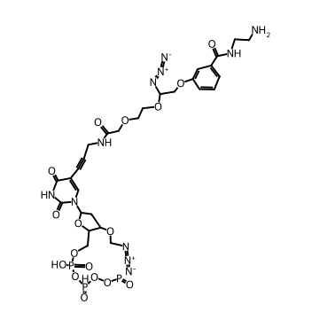 [N-]=[N+]=NCOC1CC(n2cc(C#CCNC(=O)COCCOC(COc3cccc(C(=O)NCCN)c3)N=[N+]=[N-])c(=O)[nH]c2=O)OC1COP(=O)(O)O[PH](=O)OOP=O